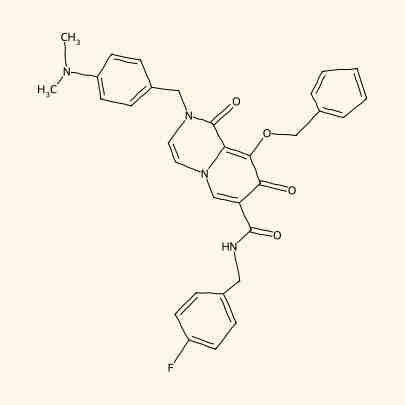 CN(C)c1ccc(Cn2ccn3cc(C(=O)NCc4ccc(F)cc4)c(=O)c(OCc4ccccc4)c3c2=O)cc1